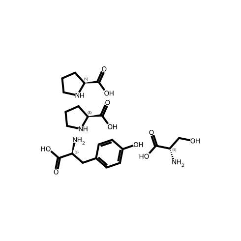 N[C@@H](CO)C(=O)O.N[C@@H](Cc1ccc(O)cc1)C(=O)O.O=C(O)[C@@H]1CCCN1.O=C(O)[C@@H]1CCCN1